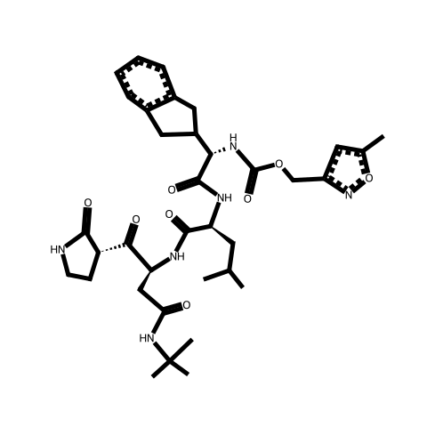 Cc1cc(COC(=O)N[C@H](C(=O)N[C@@H](CC(C)C)C(=O)N[C@@H](CC(=O)NC(C)(C)C)C(=O)[C@@H]2CCNC2=O)C2Cc3ccccc3C2)no1